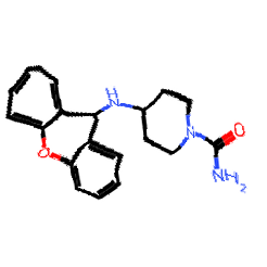 NC(=O)N1CCC(NC2c3ccccc3Oc3ccccc32)CC1